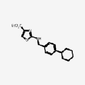 CCOC(=O)c1coc(NCc2ccc(C3CCCCC3)cc2)n1